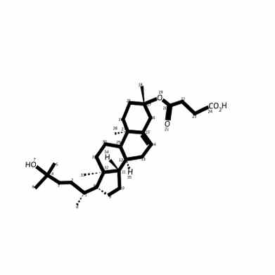 C[C@H](CCC(C)(C)O)[C@H]1CC[C@H]2[C@@H]3CC=C4C[C@@](C)(OC(=O)CCC(=O)O)CC[C@]4(C)C3CC[C@]12C